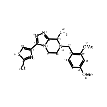 CCc1nc(-c2nnc3n2CCN(Cc2ccc(OC)cc2OC)[C@@H]3C)cs1